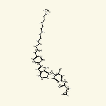 COCCOCCOCCOCCNCc1ccc(-c2cc3nccc(Oc4ccc(NC(=O)NC5CC5)cc4F)c3s2)nc1